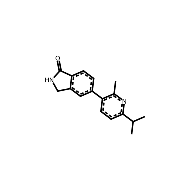 Cc1nc(C(C)C)ccc1-c1ccc2c(c1)CNC2=O